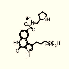 CC(C)N(CC1CCCN1)S(=O)(=O)c1ccc2[nH]c(=O)c3[nH]cc(CCCC(=O)O)c3c2c1.Cl